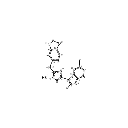 Br.Cc1ccc2nc(C)c(-c3csc(Nc4ccc5c(c4)OCO5)n3)n2c1